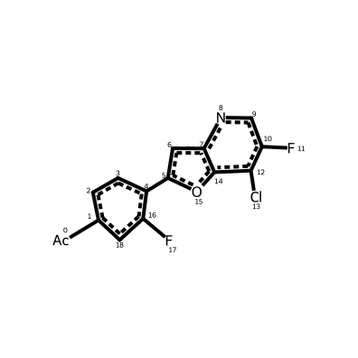 CC(=O)c1ccc(-c2cc3ncc(F)c(Cl)c3o2)c(F)c1